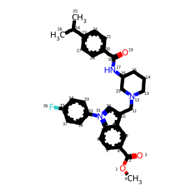 COC(=O)c1ccc2c(c1)c(CN1CCCC(NC(=O)c3ccc(C(C)C)cc3)C1)cn2-c1ccc(F)cc1